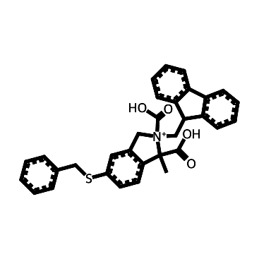 CC1(C(=O)O)c2ccc(SCc3ccccc3)cc2C[N+]1(CC1c2ccccc2-c2ccccc21)C(=O)O